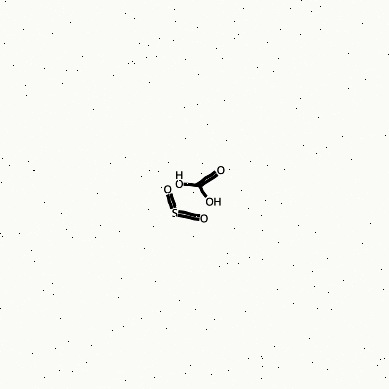 O=C(O)O.O=S=O